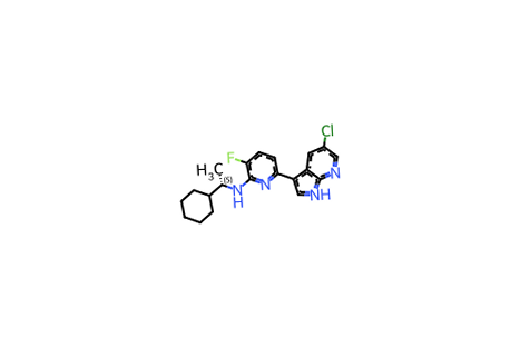 C[C@H](Nc1nc(-c2c[nH]c3ncc(Cl)cc23)ccc1F)C1CCCCC1